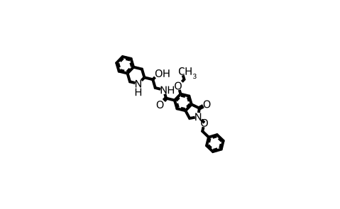 CCOc1cc2c(cc1C(=O)NCC(O)C1Cc3ccccc3CN1)CN(OCc1ccccc1)C2=O